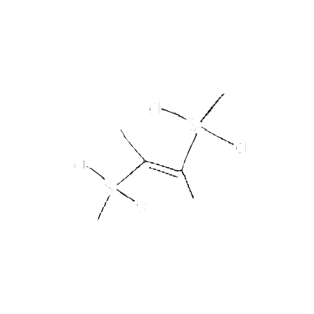 C/C(=C(/C)[Si](C)(Cl)Cl)[Si](C)(Cl)Cl